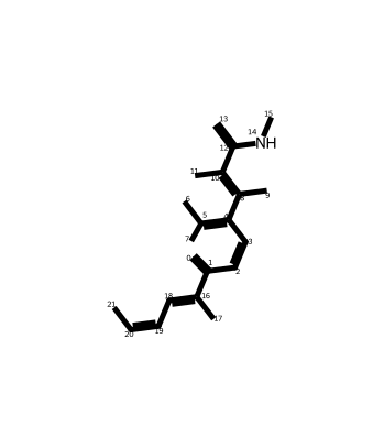 C=C(/C=C\C(=C(C)C)/C(C)=C(\C)C(=C)NC)/C(C)=C/C=C\C